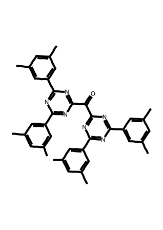 Cc1cc(C)cc(-c2nc(C(=O)c3nc(-c4cc(C)cc(C)c4)nc(-c4cc(C)cc(C)c4)n3)nc(-c3cc(C)cc(C)c3)n2)c1